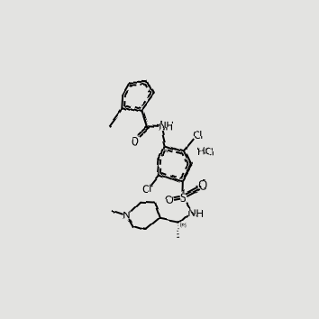 Cc1ccccc1C(=O)Nc1cc(Cl)c(S(=O)(=O)N[C@H](C)C2CCN(C)CC2)cc1Cl.Cl